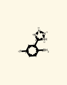 Bc1ccc(F)cc1-c1nnn[nH]1